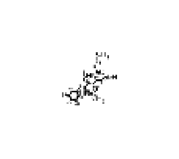 CCOCC(=O)NC(CCO)C[C@H](O)[C@H](Cc1cc(F)cc(F)c1)NC(C)=O